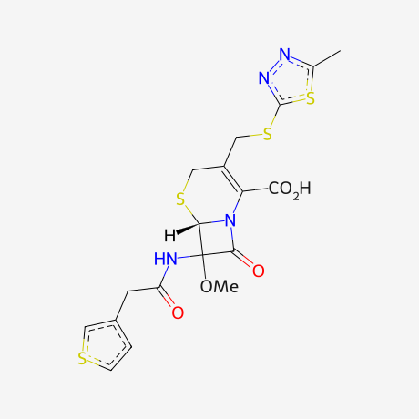 COC1(NC(=O)Cc2ccsc2)C(=O)N2C(C(=O)O)=C(CSc3nnc(C)s3)CS[C@H]21